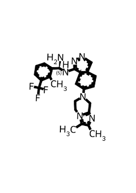 Cc1nc2n(c1C)CCN(c1ccc3cnnc(N[C@H](N)c4cccc(C(F)(F)F)c4C)c3c1)C2